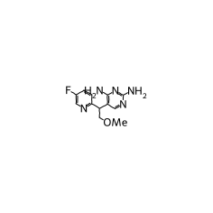 COCC(c1ccc(F)cn1)c1cnc(N)nc1N